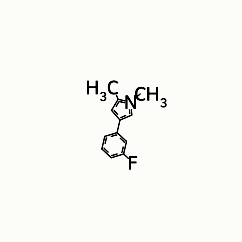 Cc1cc(-c2cccc(F)c2)cn1C